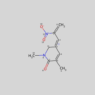 C=C(/C=C1/C=C(C)C(=O)N(C)C1)[N+](=O)[O-]